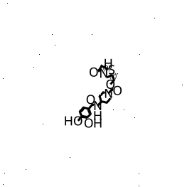 C[C@]1(COC(=O)N2CCC(NC(=O)c3ccc(O)c(O)c3)CC2)CN2C(=O)C[C@H]2S1